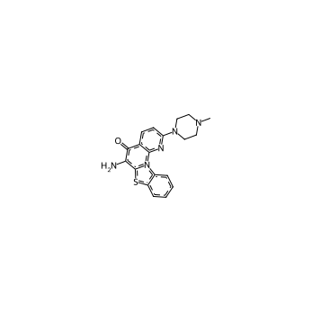 CN1CCN(c2ccc3c(=O)c(N)c4sc5ccccc5n4c3n2)CC1